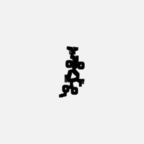 CCOC(=O)c1ncc(S(=O)(=O)/N=C/N(C)C)cc1F